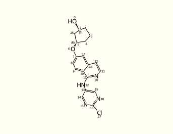 O[C@H]1CCC[C@@H](Oc2ccc3c(Nc4cnc(Cl)nc4)nccc3c2)C1